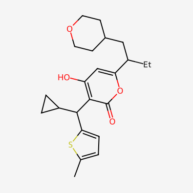 CCC(CC1CCOCC1)c1cc(O)c(C(c2ccc(C)s2)C2CC2)c(=O)o1